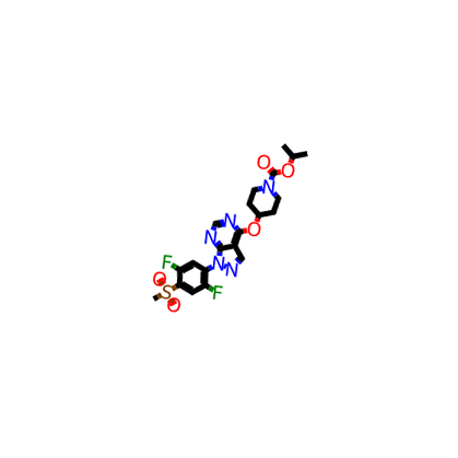 CC(C)OC(=O)N1CCC(Oc2ncnc3c2cnn3-c2cc(F)c(S(C)(=O)=O)cc2F)CC1